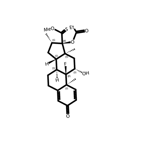 CCC(=O)O[C@]1(C(=S)OC)[C@@H](C)C[C@H]2[C@@H]3CCC4=CC(=O)C=C[C@]4(C)[C@@]3(F)[C@@H](O)C[C@@]21C